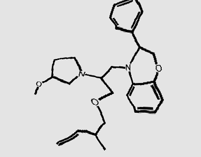 C=CC(C)COCC(CN1c2ccccc2OCC1c1ccccc1)N1CCC(OC)C1